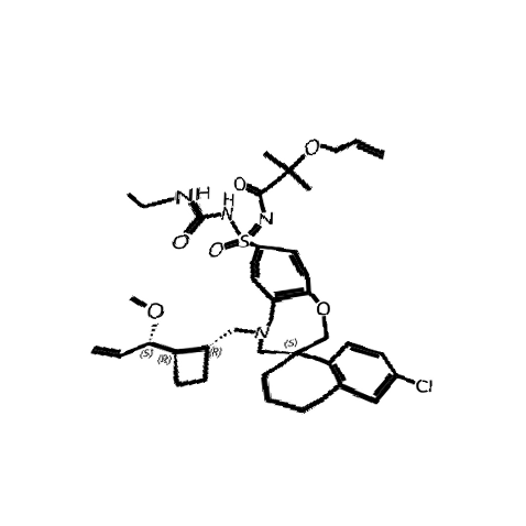 C=CCOC(C)(C)C(=O)N=S(=O)(NC(=O)NCC)c1ccc2c(c1)N(C[C@@H]1CC[C@H]1[C@H](C=C)OC)C[C@@]1(CCCc3cc(Cl)ccc31)CO2